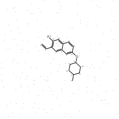 C=Cc1cc2cc(OC3CCC(C)CC3)ccc2cc1F